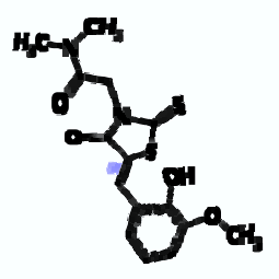 COc1cccc(/C=C2\SC(=S)N(CC(=O)N(C)C)C2=O)c1O